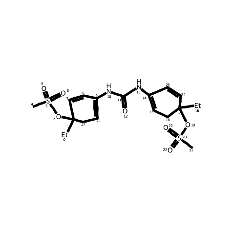 CCC1(OS(C)(=O)=O)C=CC(NC(=O)NC2=CCC(CC)(OS(C)(=O)=O)C=C2)=CC1